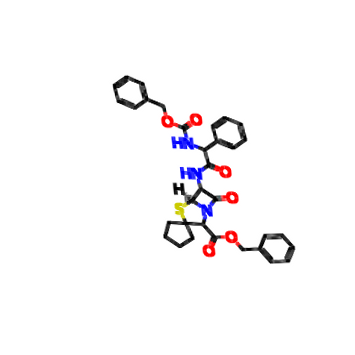 O=C(NC(C(=O)NC1C(=O)N2C(C(=O)OCc3ccccc3)C3(CCCC3)S[C@@H]12)c1ccccc1)OCc1ccccc1